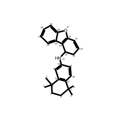 CC1(C)CCC(C)(C)c2cc(NC3CC=Cc4oc5ccccc5c43)ccc21